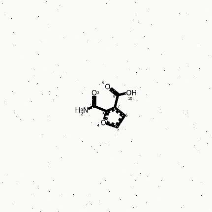 NC(=O)c1occc1C(=O)O